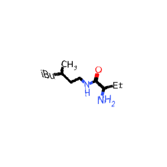 CCC(N)C(=O)NCCC(C)C(C)CC